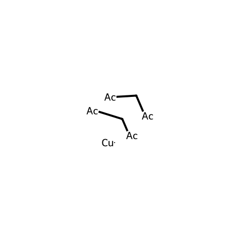 CC(=O)CC(C)=O.CC(=O)CC(C)=O.[Cu]